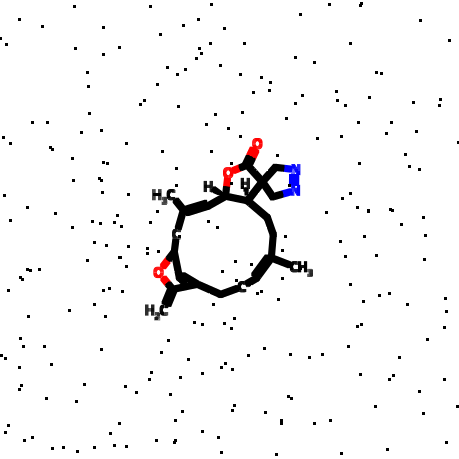 C=C1OC2C=C1CC/C=C(\C)CC[C@H]1[C@H](/C=C(\C)C2)OC(=O)C12CN=NC2